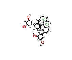 CCC1=Cc2c(-c3cc(OC)cc(OC)c3)cccc2[CH]1[Zr]([Cl])([Cl])([CH]1C(CC)=Cc2c(-c3cc(OC)cc(OC)c3)cccc21)[SiH](C)C